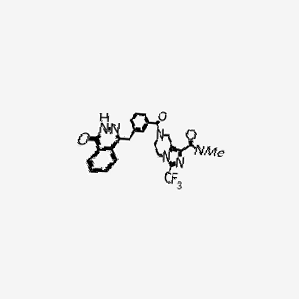 CNC(=O)c1nc(C(F)(F)F)n2c1CN(C(=O)c1cccc(Cc3n[nH]c(=O)c4ccccc34)c1)CC2